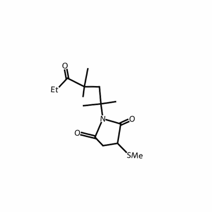 CCC(=O)C(C)(C)CC(C)(C)N1C(=O)CC(SC)C1=O